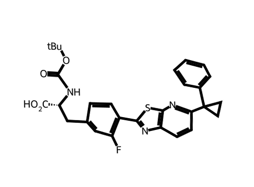 CC(C)(C)OC(=O)N[C@H](Cc1ccc(-c2nc3ccc(C4(c5ccccc5)CC4)nc3s2)c(F)c1)C(=O)O